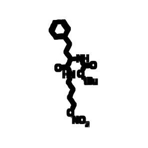 CC(C)(C)OC(=O)NC(CCc1ccccc1)C(=O)NCCCCO[N+](=O)[O-]